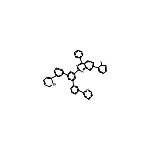 CC1C=CC=C=C1c1ccc2c(-c3ccccc3)nc(-c3cc(-c4cccc(C5=CC=CCN5)c4)cc(-c4cccc(-c5ccccn5)c4)c3)nc2c1